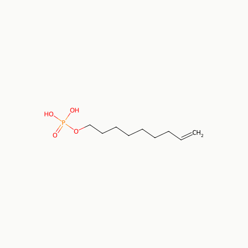 C=CCCCCCCCOP(=O)(O)O